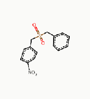 O=[N+]([O-])c1ccc(CS(=O)(=O)Cc2ccccc2)cc1